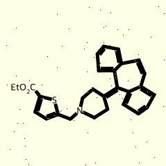 CCOC(=O)c1ccc(CN2CCC(=C3c4ccccc4C=Cc4ccccc43)CC2)s1